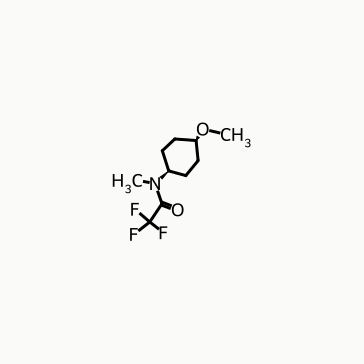 CO[C@H]1CC[C@@H](N(C)C(=O)C(F)(F)F)CC1